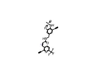 C#Cc1cc(CNC(=O)/C=C\c2ccc(C(F)(F)F)nc2C#C)cc(F)c1NS(C)(=O)=O